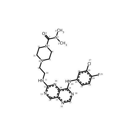 CN(C)C(=O)N1CCN(CCNc2ncc3ncnc(Nc4ccc(F)c(Cl)c4)c3n2)CC1